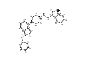 c1ccc(Cn2ccc3c(N4CCN(CCc5c[nH]c6ccccc56)CC4)cccc32)cc1